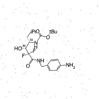 CC(C)C[C@H](NC(=O)OC(C)(C)C)[C@@H](O)C(F)(F)C(=O)NCc1ccc(N)cc1